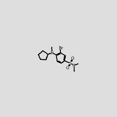 CN(c1ccc(S(=O)(=O)N(C)C)cc1Br)C1CCCC1